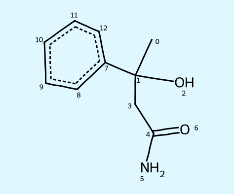 CC(O)(CC(N)=O)c1ccccc1